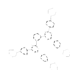 c1cc(-c2nc(-c3ccc(C4CCCCC4)cc3)nc(-c3ccc(C4CCCCC4)cc3)n2)cc(-c2nc(-c3ccc(C4CCCCC4)cc3)nc(-c3ccc(C4CCCCC4)cc3)n2)c1